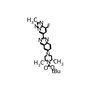 Cc1nc2c(F)cc(-c3ncc4cc(N5C[C@@H](C)N(C(=O)OC(C)(C)C)[C@@H](C)C5)ccc4n3)cn2n1